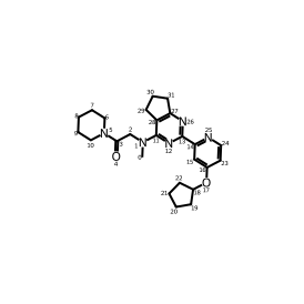 CN(CC(=O)N1CCCCC1)c1nc(-c2cc(OC3CCCC3)ccn2)nc2c1CCC2